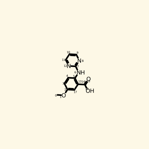 COc1ccc(Nc2ncccn2)c(C(=O)O)c1